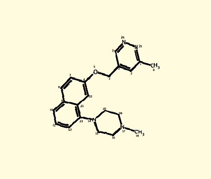 Cc1cc(COc2ccc3cccc(N4CCN(C)CC4)c3c2)cnn1